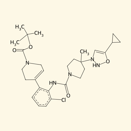 CC(C)(C)OC(=O)N1CC=C(c2cccc(Cl)c2NC(=O)N2CCC(C)(N3C=C(C4CC4)ON3)CC2)CC1